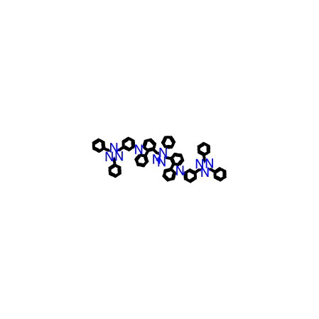 c1ccc(-c2nc(-c3ccccc3)nc(-c3cccc(-n4c5ccccc5c5c(-c6nnc(-c7cccc8c7c7ccccc7n8-c7cccc(-c8nc(-c9ccccc9)nc(-c9ccccc9)n8)c7)n6-c6ccccc6)cccc54)c3)n2)cc1